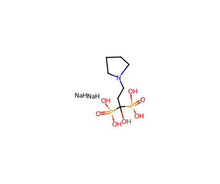 O=P(O)(O)C(O)(CCN1CCCC1)P(=O)(O)O.[NaH].[NaH]